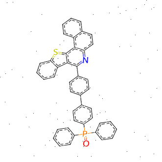 O=P(c1ccccc1)(c1ccccc1)c1ccc(-c2ccc(-c3nc4ccc5ccccc5c4c4sc5ccccc5c34)cc2)cc1